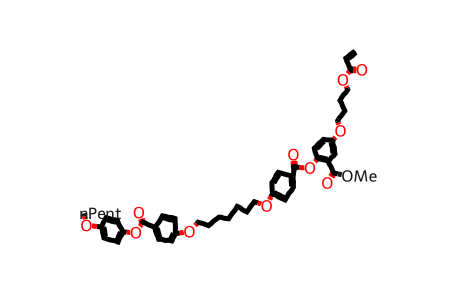 C=CC(=O)OCCCCOc1ccc(OC(=O)c2ccc(OCCCCCCCOc3ccc(C(=O)Oc4ccc(OCCCCC)cc4)cc3)cc2)c(C(=O)OC)c1